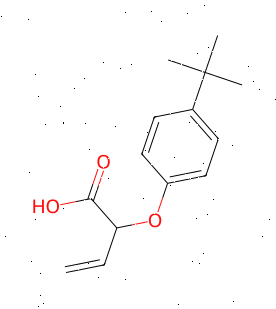 C=CC(Oc1ccc(C(C)(C)C)cc1)C(=O)O